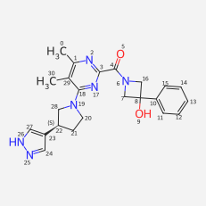 Cc1nc(C(=O)N2CC(O)(c3ccccc3)C2)nc(N2CC[C@@H](c3cn[nH]c3)C2)c1C